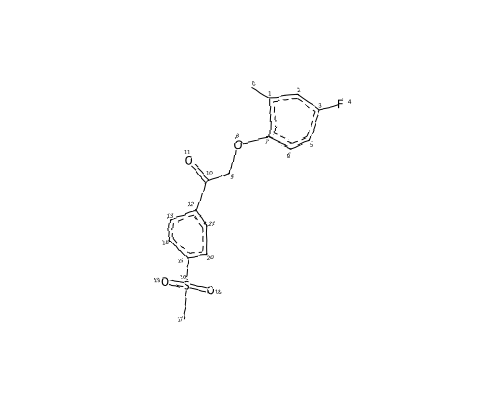 Cc1cc(F)ccc1OCC(=O)c1ccc(S(C)(=O)=O)cc1